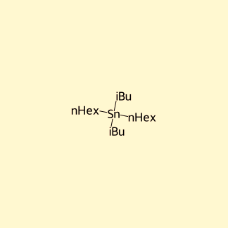 CCCCC[CH2][Sn]([CH2]CCCCC)([CH](C)CC)[CH](C)CC